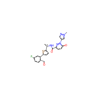 C[C@@H](NC(=O)c1ccc(=O)n(-c2cnn(C)c2)n1)c1ccc(-c2cc(F)ccc2C=O)s1